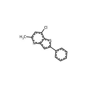 Cc1cc(Cl)c2sc(-c3ccccc3)cc2n1